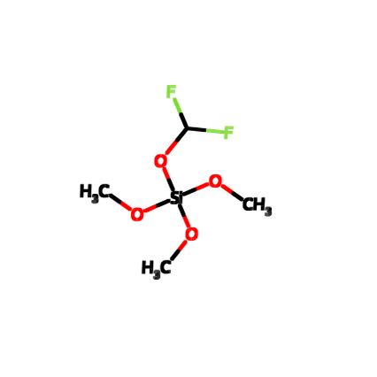 CO[Si](OC)(OC)OC(F)F